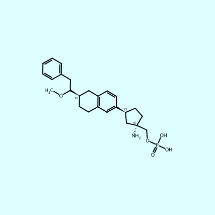 COC(Cc1ccccc1)[C@@H]1CCc2cc([C@H]3CC[C@@](N)(COP(=O)(O)O)C3)ccc2C1